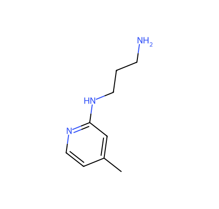 Cc1ccnc(NCCCN)c1